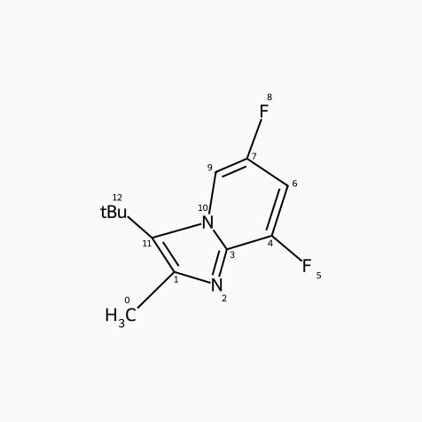 Cc1nc2c(F)cc(F)cn2c1C(C)(C)C